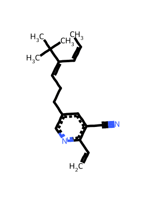 C=Cc1ncc(CC/C=C(\C=C/C)C(C)(C)C)cc1C#N